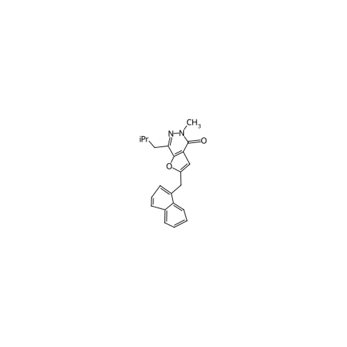 CC(C)Cc1nn(C)c(=O)c2cc(Cc3cccc4ccccc34)oc12